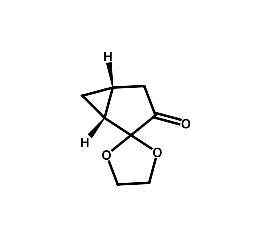 O=C1C[C@H]2C[C@H]2C12OCCO2